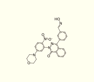 O=c1c2ccccc2c(-c2cccc(C=NO)c2)nn1-c1cc(N2CCOCC2)ccc1[N+](=O)[O-]